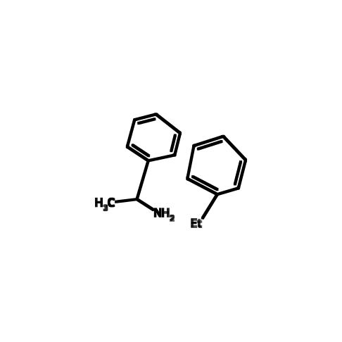 CC(N)c1ccccc1.CCc1ccccc1